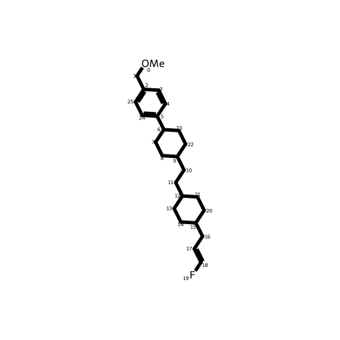 COCc1ccc(C2CCC(CCC3CCC(C/C=C/F)CC3)CC2)cc1